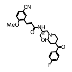 COc1ccc(C#N)cc1C=CC(=O)N[C@H](CO)CN1CCC(C(=O)c2ccc(F)cc2)CC1